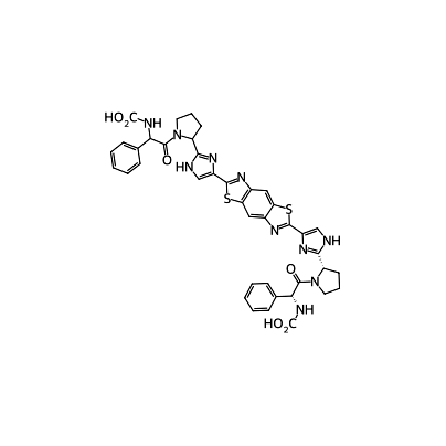 O=C(O)NC(C(=O)N1CCCC1c1nc(-c2nc3cc4sc(-c5c[nH]c([C@@H]6CCCN6C(=O)[C@H](NC(=O)O)c6ccccc6)n5)nc4cc3s2)c[nH]1)c1ccccc1